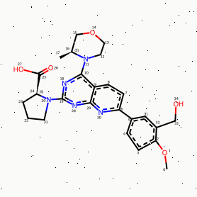 COc1ccc(-c2ccc3c(N4CCOC[C@@H]4C)nc(N4CCC[C@H]4C(=O)O)nc3n2)cc1CO